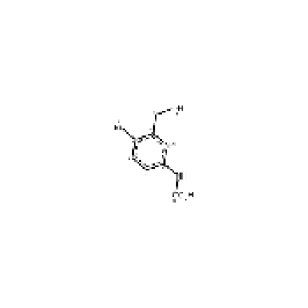 O=C(O)Nc1ccc(Br)c(CO)n1